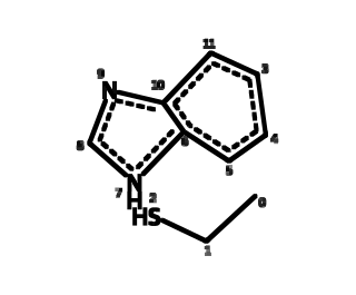 CCS.c1ccc2[nH]cnc2c1